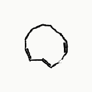 [C]1=C\CCCCC/C=C\C/C=C/1